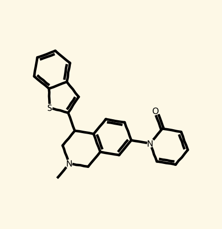 CN1Cc2cc(-n3ccccc3=O)ccc2C(c2cc3ccccc3s2)C1